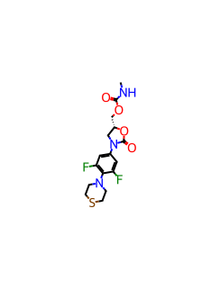 CNC(=O)OC[C@H]1CN(c2cc(F)c(N3CCSCC3)c(F)c2)C(=O)O1